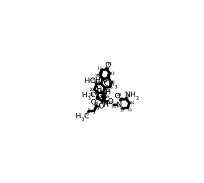 CCCC1O[C@@H]2C[C@H]3[C@@H]4CCC5=CC(=O)C=C[C@]5(C)[C@H]4[C@@H](O)C[C@]3(C)[C@]2(C(=O)COCN2CCCC(N)C2=O)O1